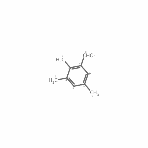 Cc1cc(C)c(C)c([C]=O)c1